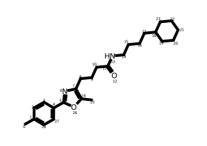 Cc1ccc(-c2nc(CCCC(=O)NCCCCC3CCCCC3)c(C)o2)cc1